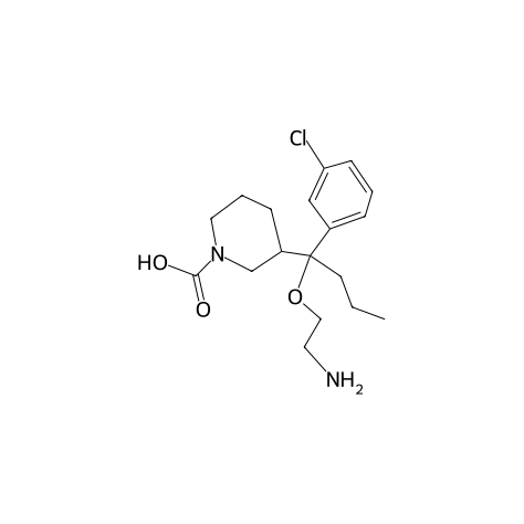 CCCC(OCCN)(c1cccc(Cl)c1)C1CCCN(C(=O)O)C1